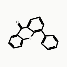 O=c1c2ccccc2sc2c(-c3ccccc3)cccc12